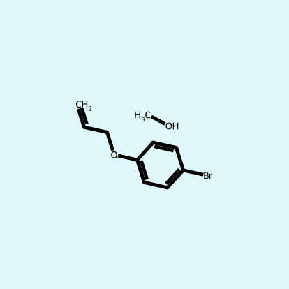 C=CCOc1ccc(Br)cc1.CO